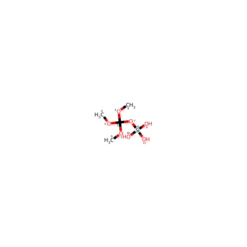 COC(OC)(OC)O[Si](O)(O)O